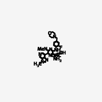 CNc1nc(Nc2ccc(CN3CCOCC3)cc2F)c(C(N)=O)nc1-c1cncc2c1ncn2C.O=CO